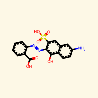 Nc1ccc2c(O)c(N=Nc3ccccc3C(=O)O)c(S(=O)(=O)O)cc2c1